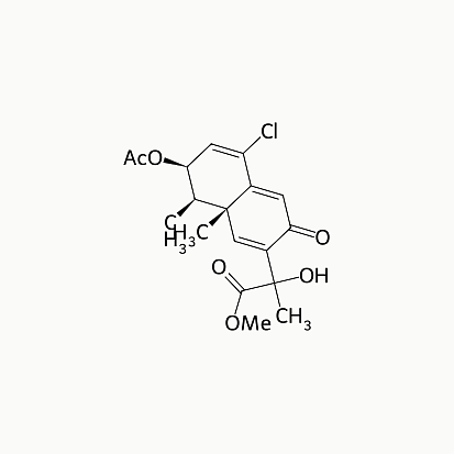 COC(=O)C(C)(O)C1=C[C@@]2(C)C(=CC1=O)C(Cl)=C[C@H](OC(C)=O)[C@@H]2C